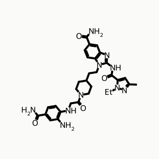 CCn1nc(C)cc1C(=O)Nc1nc2cc(C(N)=O)ccc2n1CCC1CCN(C(=O)CNc2ccc(C(N)=O)cc2N)CC1